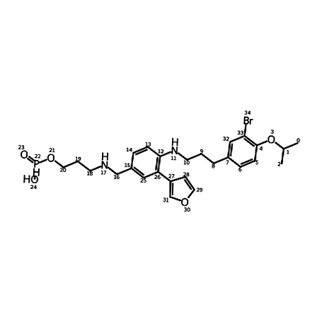 CC(C)Oc1ccc(CCCNc2ccc(CNCCCO[PH](=O)O)cc2-c2ccoc2)cc1Br